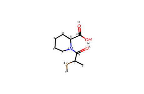 CSC(C)C(=O)N1CCCCC1C(=O)O